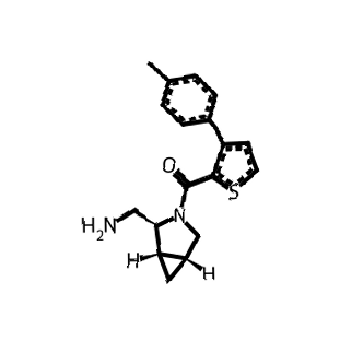 Cc1ccc(-c2ccsc2C(=O)N2C[C@@H]3C[C@@H]3[C@H]2CN)cc1